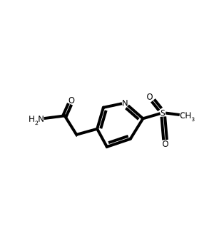 CS(=O)(=O)c1ccc([CH]C(N)=O)cn1